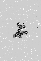 c1ccc(-c2nc(-c3nc4ccccc4o3)cc(-c3cc(-c4nc(-c5ccccc5)nc(-c5ccccc5)n4)ccc3-c3ccc4c(c3)Cc3ccccc3O4)n2)cc1